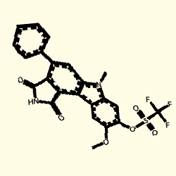 COc1cc2c3c4c(c(-c5ccccc5)cc3n(C)c2cc1OS(=O)(=O)C(F)(F)F)C(=O)NC4=O